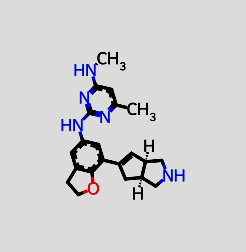 CNc1cc(C)nc(Nc2cc3c(c(C4=C[C@H]5CNC[C@H]5C4)c2)OCC3)n1